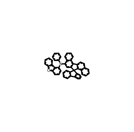 c1ccc(N(c2cc3c(c4ccccc24)-c2ccc4ccccc4c2C32c3ccccc3-c3ccccc32)c2cccc3oc4ccccc4c23)cc1